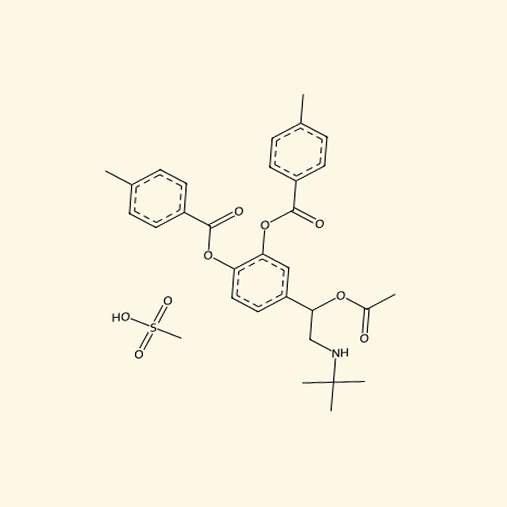 CC(=O)OC(CNC(C)(C)C)c1ccc(OC(=O)c2ccc(C)cc2)c(OC(=O)c2ccc(C)cc2)c1.CS(=O)(=O)O